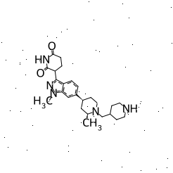 C[C@H]1C[C@@H](c2ccc3c(C4CCC(=O)NC4=O)nn(C)c3c2)CCN1CC1CCNCC1